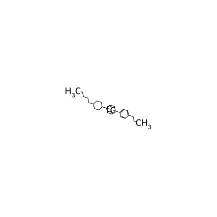 CCCCCC1CCC(C23CCC(c4ccc(CCC)cc4)(CC2)CC3)CC1